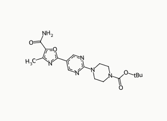 Cc1nc(-c2cnc(N3CCN(C(=O)OC(C)(C)C)CC3)nc2)oc1C(N)=O